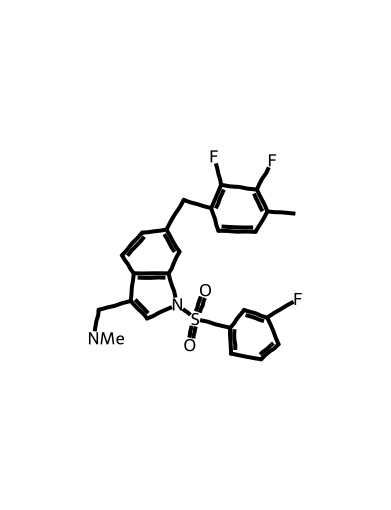 CNCc1cn(S(=O)(=O)c2cccc(F)c2)c2cc(Cc3ccc(C)c(F)c3F)ccc12